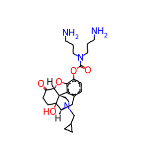 NCCCN(CCCN)C(=O)Oc1ccc2c3c1O[C@H]1C(=O)CC[C@@]4(O)[C@@H](C2)N(CC2CC2)CC[C@]314